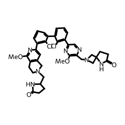 COc1nc(-c2cccc(-c3cccc(-c4cc5c(c(OC)n4)CCN(CC4CCC(=O)N4)C5)c3Cl)c2Cl)cnc1CN1CC2(CCC(=O)N2)C1